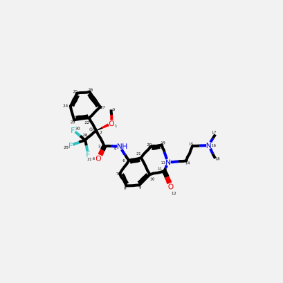 CO[C@](C(=O)Nc1cccc2c(=O)n(CCN(C)C)ccc12)(c1ccccc1)C(F)(F)F